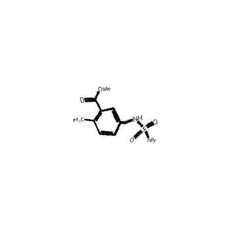 CCCS(=O)(=O)Nc1ccc(C)c(C(=O)OC)c1